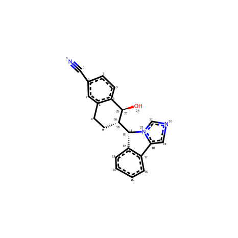 N#Cc1ccc2c(c1)CC[C@@H]([C@H]1c3ccccc3-c3cncn31)[C@@H]2O